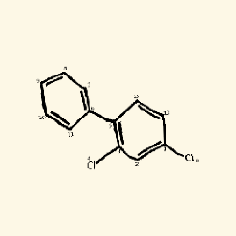 Clc1[c]c(Cl)c(-c2ccccc2)cc1